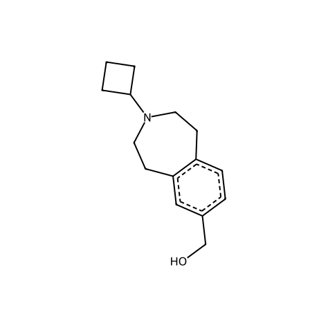 OCc1ccc2c(c1)CCN(C1CCC1)CC2